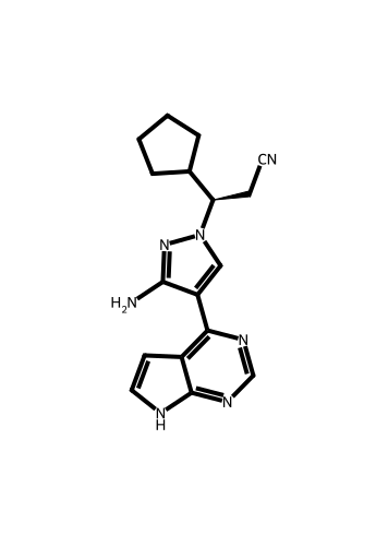 N#CC[C@H](C1CCCC1)n1cc(-c2ncnc3[nH]ccc23)c(N)n1